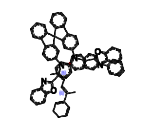 C/C(=C\C=C(/C)N(c1ccc(-c2nc3ccccc3o2)cc1)c1ccc2c(c1)C1(c3ccccc3-2)c2ccccc2-c2ccc(N(c3ccc(-c4cc#ccc4)cc3)c3ccc(-c4nc5ccccc5o4)cc3)cc21)C1=CCCC=C1